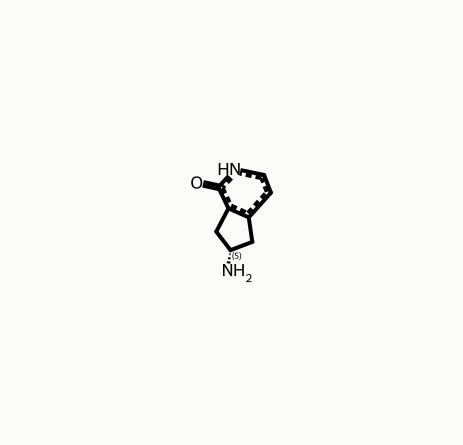 N[C@H]1Cc2cc[nH]c(=O)c2C1